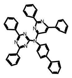 c1ccc(-c2ccc(N(c3cc(-c4ccccc4)nc(-c4ccccc4)n3)c3nc(-c4ccccc4)nc(-c4ccccc4)n3)cc2)cc1